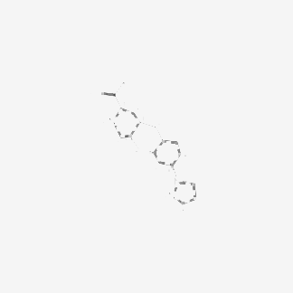 CC(=O)c1cc(Cc2ccc(-n3cccn3)cc2)c(C)cn1